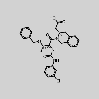 C[C@@H](OCc1ccccc1)[C@H](NC(=O)Nc1cccc(Cl)c1)C(=O)N1Cc2ccccc2C[C@@H]1CC(=O)O